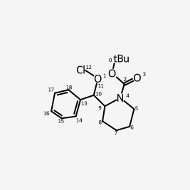 CC(C)(C)OC(=O)N1CCCCC1C(OCl)c1ccccc1